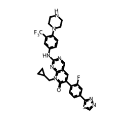 O=c1c(-c2ccc(-c3nncs3)cc2F)cc2cnc(Nc3ccc(N4CCNCC4)c(C(F)(F)F)c3)nc2n1CC1CC1